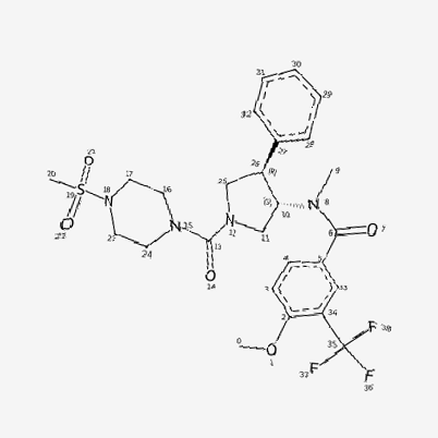 COc1ccc(C(=O)N(C)[C@@H]2CN(C(=O)N3CCN(S(C)(=O)=O)CC3)C[C@H]2c2ccccc2)cc1C(F)(F)F